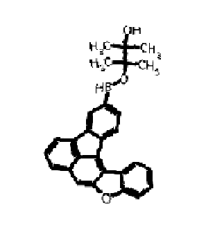 CC(C)(O)C(C)(C)OBc1ccc2c(c1)-c1cccc3cc4oc5ccccc5c4c-2c13